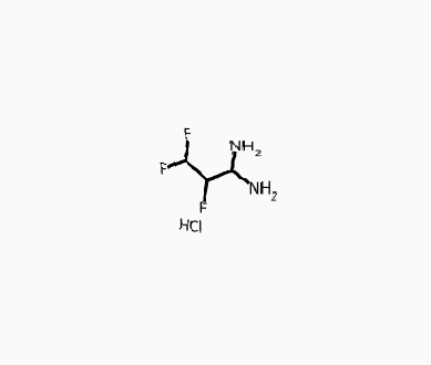 Cl.NC(N)C(F)C(F)F